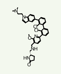 COc1nc(-c2cccc(-c3cccc(-c4ccc5c(ccn5CCN(C)C)c4)c3Cl)c2Cl)ccc1CNC[C@@H]1CCC(=O)N1